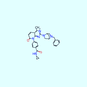 Cc1nc(N2CC3CC2CN3Cc2ccccc2)nc2c1ccc(=O)n2-c1ccc(C(=O)NC2CC2)cc1